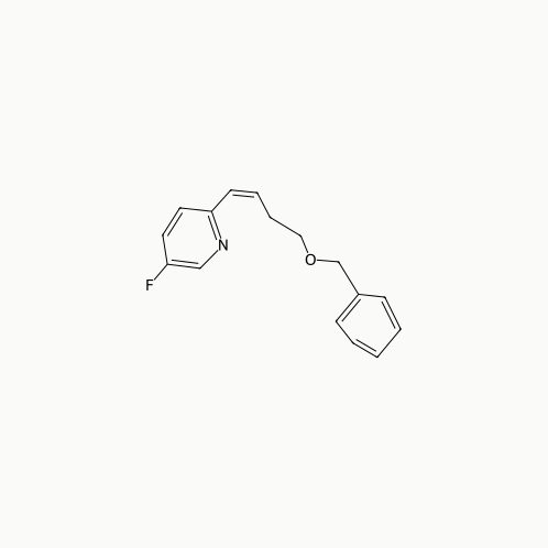 Fc1ccc(/C=C\CCOCc2ccccc2)nc1